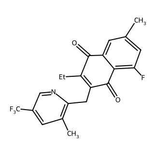 CCC1=C(Cc2ncc(C(F)(F)F)cc2C)C(=O)c2c(F)cc(C)cc2C1=O